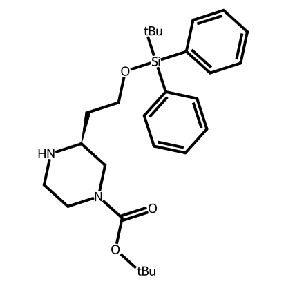 CC(C)(C)OC(=O)N1CCN[C@@H](CCO[Si](c2ccccc2)(c2ccccc2)C(C)(C)C)C1